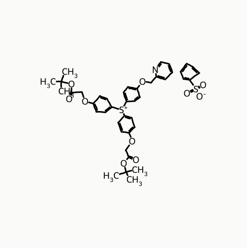 CC(C)(C)OC(=O)COc1ccc([S+](c2ccc(OCC(=O)OC(C)(C)C)cc2)c2ccc(OCc3ccccn3)cc2)cc1.O=S(=O)([O-])c1ccccc1